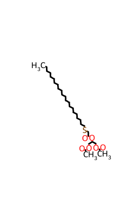 CCCCCCCCCCCCCCCCCCCCCCSCC(=O)OC(COC(C)=O)COC(C)=O